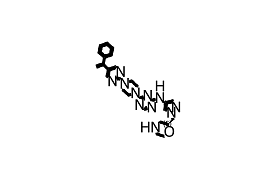 C=C(c1ccccc1)c1cnc(N2CCN(c3ncnc(Nc4cnn(C[C@@H]5CNCCO5)c4)n3)CC2)nc1